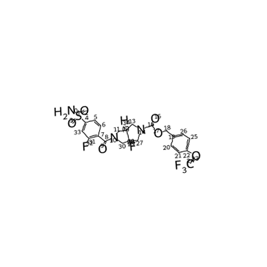 NS(=O)(=O)c1ccc(C(=O)N2C[C@H]3CN(C(=O)OCc4ccc(OC(F)(F)F)cc4)C[C@]3(F)C2)c(F)c1